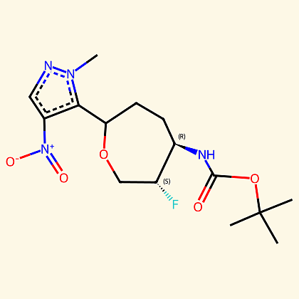 Cn1ncc([N+](=O)[O-])c1C1CC[C@@H](NC(=O)OC(C)(C)C)[C@H](F)CO1